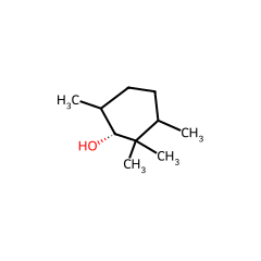 CC1CCC(C)C(C)(C)[C@@H]1O